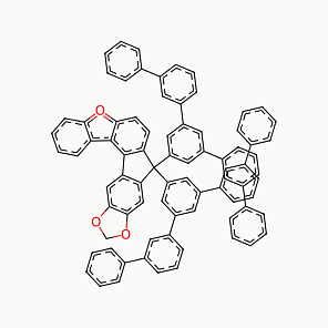 c1ccc(-c2cccc(-c3cc(-c4cccc(-c5ccccc5)c4)cc(C4(c5cc(-c6cccc(-c7ccccc7)c6)cc(-c6cccc(-c7ccccc7)c6)c5)c5cc6c(cc5-c5c4ccc4oc7ccccc7c54)OCO6)c3)c2)cc1